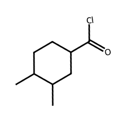 CC1CCC(C(=O)Cl)CC1C